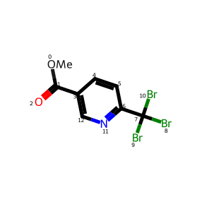 COC(=O)c1ccc(C(Br)(Br)Br)nc1